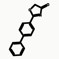 O=C1COC(c2ccc(-c3ccccc3)cc2)=N1